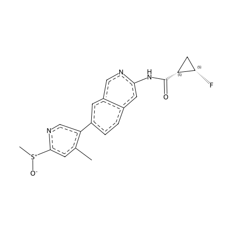 Cc1cc([S+](C)[O-])ncc1-c1ccc2cc(NC(=O)[C@@H]3C[C@@H]3F)ncc2c1